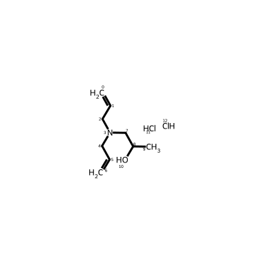 C=CCN(CC=C)CC(C)O.Cl.Cl